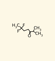 CC(C)C(=O)CCC(C)(F)F